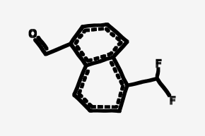 O=Cc1cccc2c(C(F)F)cccc12